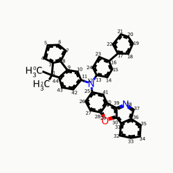 CC1(C)c2ccccc2-c2cc(N(c3ccc(-c4ccccc4)cc3)c3ccc4oc5c6ccccc6cnc5c4c3)ccc21